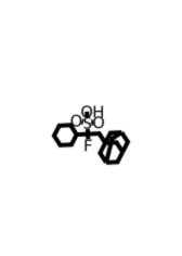 O=S(=O)(O)C(F)(CC12CC3CC(CC(C3)C1)C2)C1CCCCC1